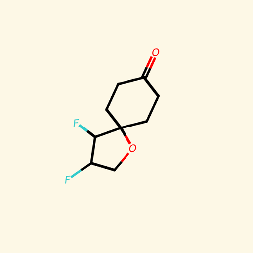 O=C1CCC2(CC1)OCC(F)C2F